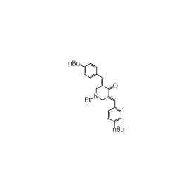 CCCCc1ccc(/C=C2\CN(CC)C/C(=C\c3ccc(CCCC)cc3)C2=O)cc1